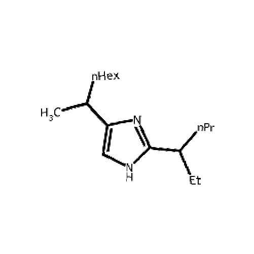 CCCCCCC(C)c1c[nH]c(C(CC)CCC)n1